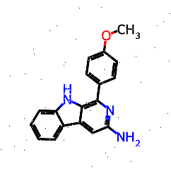 COc1ccc(-c2nc(N)cc3c2[nH]c2ccccc23)cc1